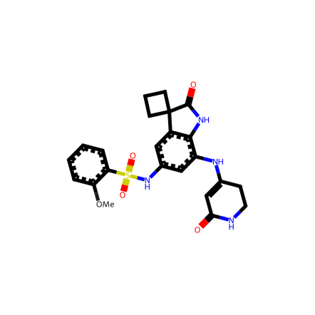 COc1ccccc1S(=O)(=O)Nc1cc(NC2=CC(=O)NCC2)c2c(c1)C1(CCC1)C(=O)N2